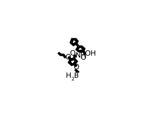 BCCOc1ccc(OCCCC)c(C(=O)Nc2cc(-c3ccccc3)ccc2C(=O)O)c1